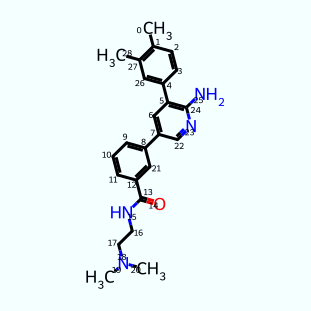 Cc1ccc(-c2cc(-c3cccc(C(=O)NCCN(C)C)c3)cnc2N)cc1C